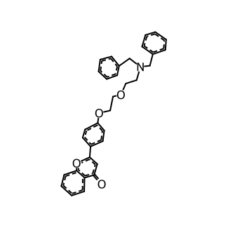 O=c1cc(-c2ccc(OCCOCCN(Cc3ccccc3)Cc3ccccc3)cc2)oc2ccccc12